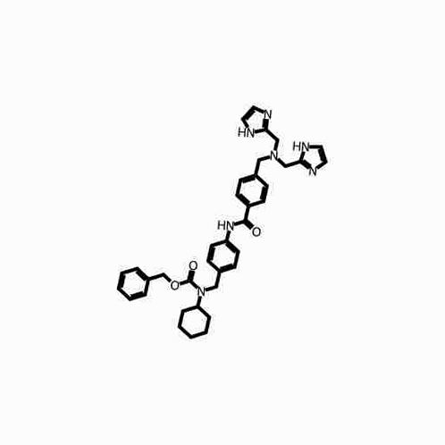 O=C(Nc1ccc(CN(C(=O)OCc2ccccc2)C2CCCCC2)cc1)c1ccc(CN(Cc2ncc[nH]2)Cc2ncc[nH]2)cc1